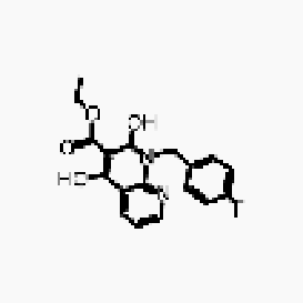 CCOC(=O)C1=C(O)c2cccnc2N(Cc2ccc(F)cc2)C1O